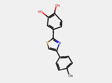 N#Cc1ccc(-c2csc(-c3ccc(O)c(O)c3)n2)cc1